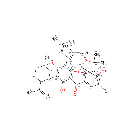 C=C(C)C1CC[C@]2(C)CC1c1c(O)c3c(c(CC=C(C)C)c1O2)O[C@]12C(=C[C@@H]4C[C@@H]1C(C)(C)O[C@@]2(C/C=C(/C)C(=O)O)C4=O)C3=O